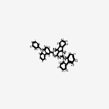 c1ccc(-n2c3ccccc3c3cc(-c4nc5c6c(nc(-n7c8ccccc8c8ccccc87)nc6n4)-c4ccccc4-5)ccc32)cc1